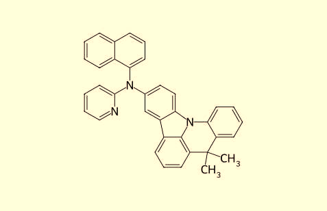 CC1(C)c2ccccc2-n2c3ccc(N(c4ccccn4)c4cccc5ccccc45)cc3c3cccc1c32